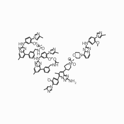 COc1cc(-c2c(C)cc(C3CCN(S(C)(=O)=O)CC3)c3nc(N)nn23)ccc1-n1cnc(C)c1.COc1cc(Nc2nc3c(-c4cccc(CNC(C)=O)c4)cc(C)cn3n2)ccc1-n1cnc(C)c1.COc1cc(Nc2nc3c(-c4cccc(CNS(C)(=O)=O)c4)cc(C)cn3n2)ccc1-n1cnc(C)c1.COc1cc(Nc2nc3c(N4CCOCC4)cccn3n2)ccc1-n1cnc(C)c1